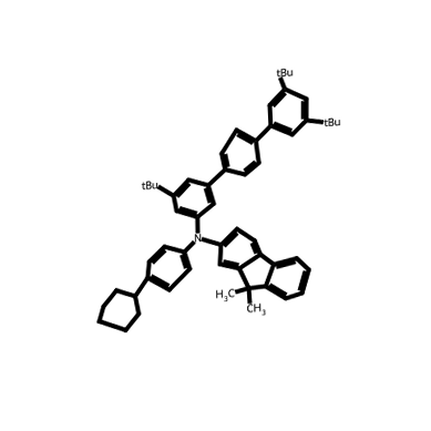 CC(C)(C)c1cc(-c2ccc(-c3cc(C(C)(C)C)cc(C(C)(C)C)c3)cc2)cc(N(c2ccc(C3CCCCC3)cc2)c2ccc3c(c2)C(C)(C)c2ccccc2-3)c1